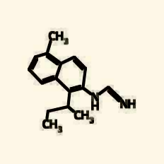 CCC(C)c1c(NC=N)ccc2c(C)cccc12